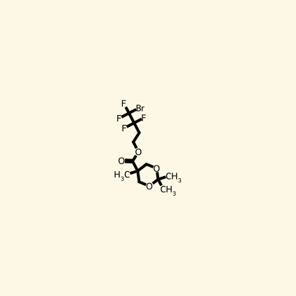 CC1(C)OCC(C)(C(=O)OCCC(F)(F)C(F)(F)Br)CO1